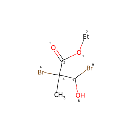 CCOC(=O)C(C)(Br)C(O)Br